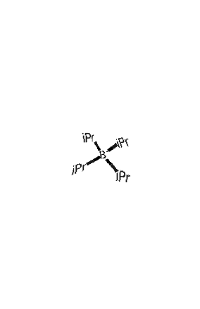 CC(C)[B-](C(C)C)(C(C)C)C(C)C